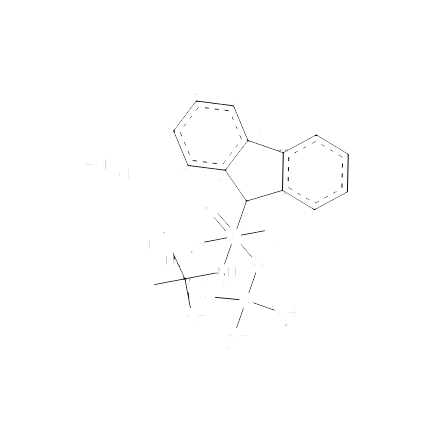 Cl.Cl.[CH2]=[Ti]([CH3])([NH]C(C)(C)C)([O]C)([O][Si](C)(C)C)[CH]1c2ccccc2-c2ccccc21